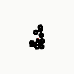 c1ccc(-n2c(-c3ccc(-c4ccc5c(c4)C4(c6ccccc6-5)c5ccccc5C5(c6ccccc6)c6ccccc6-c6cccc4c65)cc3)cc3ccccc32)cc1